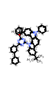 CC(C)(C)c1ccc2c(c1)c1c(ccc3c4cc(C(C)(C)C)ccc4n(-c4nc(-c5ccccc5)nc(-c5cccc(-c6ccccc6)c5)n4)c31)n2-c1ccccc1